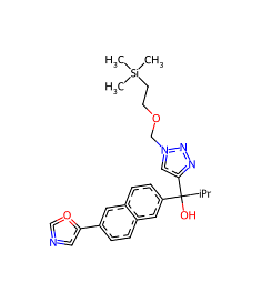 CC(C)C(O)(c1ccc2cc(-c3cnco3)ccc2c1)c1cn(COCC[Si](C)(C)C)nn1